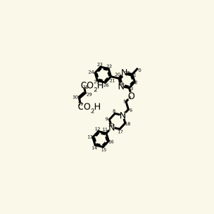 Cc1cc(OCCN2CCN(c3ccccc3)CC2)nc(-c2ccccc2)n1.O=C(O)C=CC(=O)O